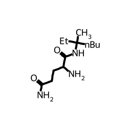 CCCCC(C)(CC)NC(=O)C(N)CCC(N)=O